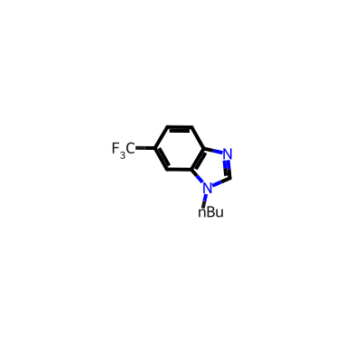 CCCCn1cnc2ccc(C(F)(F)F)cc21